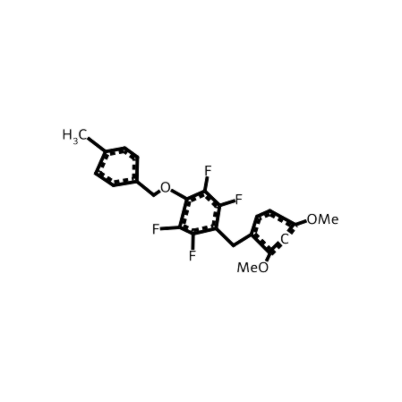 COc1ccc(Cc2c(F)c(F)c(OCc3ccc(C)cc3)c(F)c2F)c(OC)c1